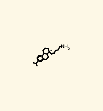 CC(C)c1ccc2c(c1)CCC1[C@@](C)(/C=C\CCCN)CCC[C@]21C